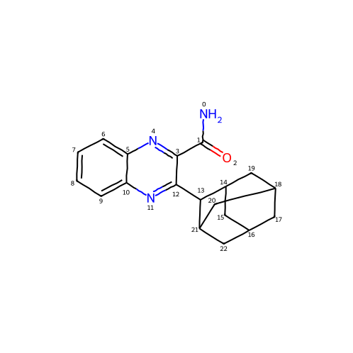 NC(=O)c1nc2ccccc2nc1C1C2CC3CC(C2)CC1C3